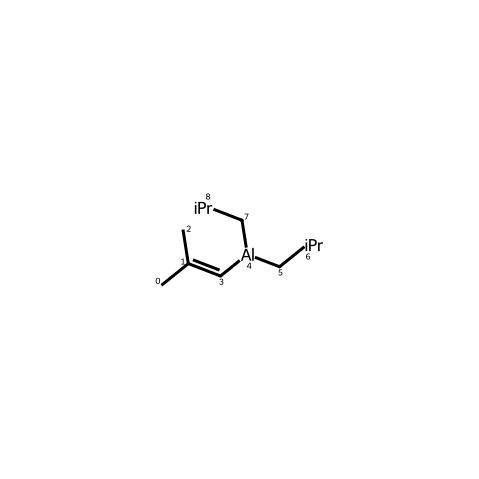 CC(C)=[CH][Al]([CH2]C(C)C)[CH2]C(C)C